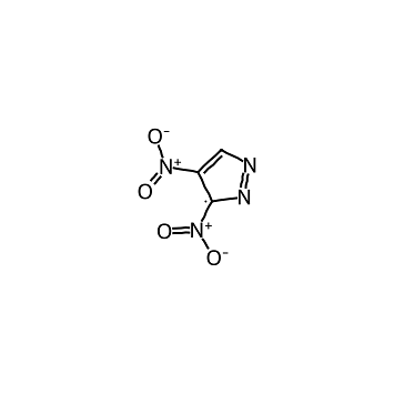 O=[N+]([O-])[C]1N=NC=C1[N+](=O)[O-]